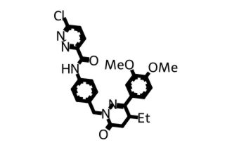 CCC1CC(=O)N(Cc2ccc(NC(=O)c3ccc(Cl)nn3)cc2)N=C1c1ccc(OC)c(OC)c1